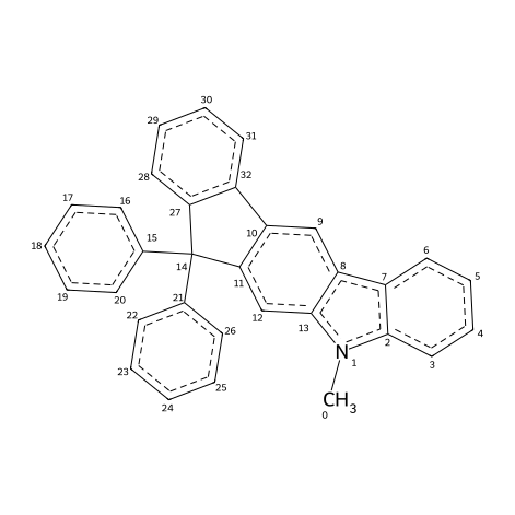 Cn1c2ccccc2c2cc3c(cc21)C(c1ccccc1)(c1ccccc1)c1ccccc1-3